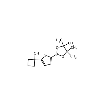 CC1(C)OB(c2ccc(C3(O)CCC3)s2)OC1(C)C